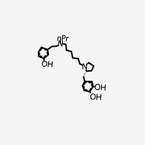 CCCN(CCCCCCN1CCC[C@@H]1Cc1ccc(O)c(O)c1)CCc1cccc(O)c1